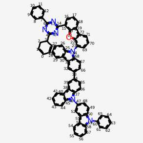 C1=CCC(c2nc(-c3ccccc3)nc(-c3cccc4c3oc3c(-n5c6ccccc6c6cc(-c7ccc8c(c7)c7ccccc7n8-c7ccc8c(c7)c7ccccc7n8-c7ccccc7)ccc65)cccc34)n2)C=C1